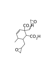 CC1C=CC(CC2CO2)(C(=O)O)C(C(=O)O)C1CC1CO1